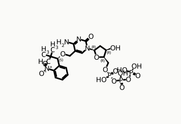 CC(C)(C)[C@H](OCc1cn([C@H]2C[C@@H](O)[C@@H](COP(=O)(O)OP(=O)(O)OP(=O)(O)O)O2)c(=O)nc1N)c1ccccc1[N+](=O)[O-]